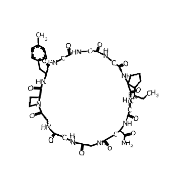 CC[C@H](C)C1CCCC12NC(=O)CNC(=O)CNC(=O)CNC(=O)C(Cc1ccc(C)cc1)NC(=O)C1CCN1C(=O)CNC(=O)CNC(=O)CNC(=O)CC(C(N)=O)NC(=O)CNC2=O